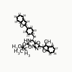 Cc1c(-c2nnc([C@H](Cc3ccc(-c4cc5ccccc5o4)cc3)NC(=O)OC(C)(C)C)o2)oc2ccccc12